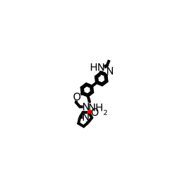 Cc1nc2ccc(-c3ccc4c(c3)CN(C(=O)N3C5CCC3CC(N)C5)CCO4)cc2[nH]1